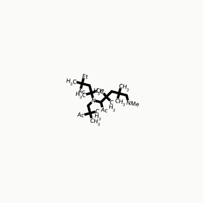 CCC(C)(CC(C)(C)N(CC(C)(C)C(C)=O)C(C(C)=O)C(C)(C)CC(C)(C)CNC)C(C)=O